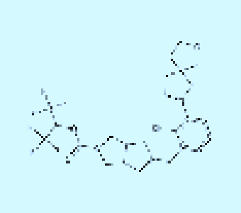 O=C(OC(C(F)(F)F)C(F)(F)F)N1CC2CN(Cc3cccc(N4CCC5(CCOC5)C4)c3Cl)CC2C1